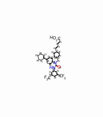 O=C(O)C=CC=Cc1ccc(CN(C(=O)Nc2cc(C(F)(F)F)cc(C(F)(F)F)c2)c2ccc(C3=CCCCC3)cc2)cc1